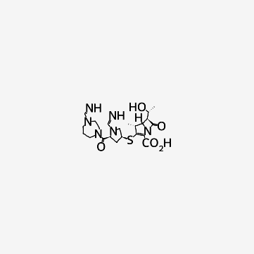 C[C@@H](O)[C@H]1C(=O)N2C(C(=O)O)=C(S[C@H]3C[C@@H](C(=O)N4CCCN(C=N)CC4)N(C=N)C3)[C@H](C)[C@H]12